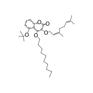 CCCCCCCCCCOc1c(OCC=C(C)CCC=C(C)C)c(=O)oc2cccc(OC(C)(C)C)c12